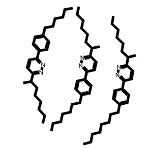 CCCCCCCCc1ccc(-c2ccc(C(C)CCCCCC)nn2)cc1.CCCCCCCc1ccc(-c2ccc(C(C)CCCCCC)nn2)cc1.CCCCCCc1ccc(-c2ccc(C(C)CCCCCC)nn2)cc1